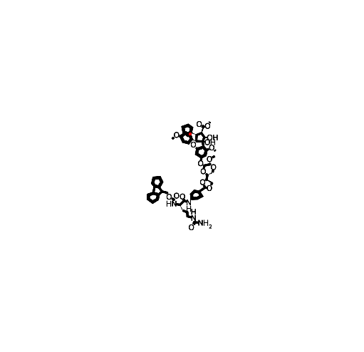 COC(=O)[C@H]1[C@@H](O)[C@@]2(O)c3c(OC)cc(O[C@@H]4O[C@@H]([C@H]5COC(c6ccc(NC(=O)[C@H](CCCNC(N)=O)NC(=O)OCC7c8ccccc8-c8ccccc87)cc6)O5)CO[C@H]4OC)cc3O[C@@]2(c2ccc(OC)cc2)[C@@H]1c1ccccc1